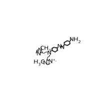 CN1C=C[N+]=C1CCN(CCC1=[N+]C=CN1C)c1ccc(N=Nc2ccc(N)cc2)cc1